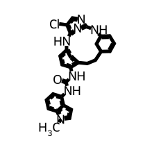 Cn1ccc2c(NC(=O)Nc3ccc4cc3CCC3C=CC=C(C3)Nc3ncc(Cl)c(n3)N4)cccc21